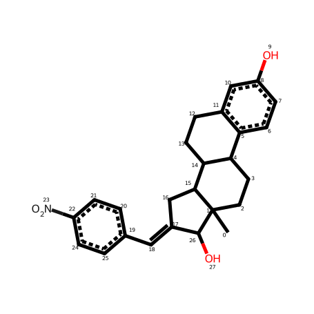 CC12CCC3c4ccc(O)cc4CCC3C1C/C(=C\c1ccc([N+](=O)[O-])cc1)C2O